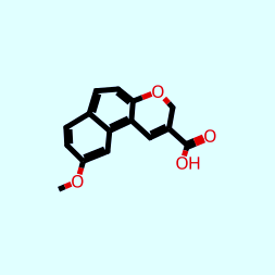 COc1ccc2ccc3c(c2c1)C=C(C(=O)O)CO3